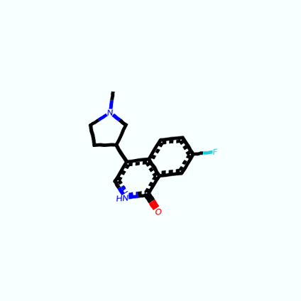 CN1CCC(c2c[nH]c(=O)c3cc(F)ccc23)C1